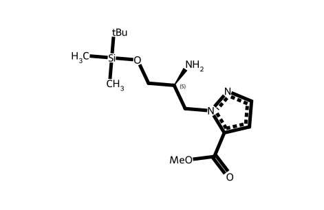 COC(=O)c1ccnn1C[C@H](N)CO[Si](C)(C)C(C)(C)C